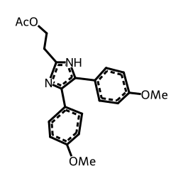 COc1ccc(-c2nc(CCOC(C)=O)[nH]c2-c2ccc(OC)cc2)cc1